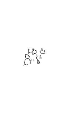 CCn1cc(-c2ccnc(Nc3ccc4c(c3)NCCN(C)C4)n2)c(-c2cccnc2)n1